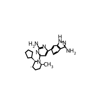 C[C@H]1CC[CH][C@@H](C2CCCC2)N1c1cc(-c2ccc3c(N)n[nH]c3c2)nc(N)n1